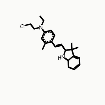 CCN(CCCl)c1ccc(/C=C/C2NC3CC=CC=C3C2(C)C)c(C)c1